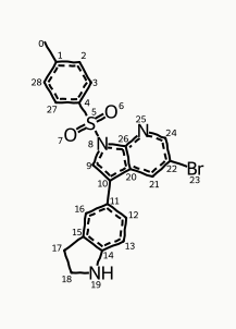 Cc1ccc(S(=O)(=O)n2cc(-c3ccc4c(c3)CCN4)c3cc(Br)cnc32)cc1